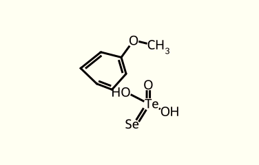 COc1ccccc1.O=[Te](O)(O)=[Se]